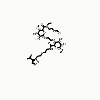 CCN(CCOCO)C(=O)C1O[C@@H](OCCO[C@@H]2C(C(=O)NCCOCCn3nncc3C(C)=O)O[C@@H](OC)[C@@H](O)[C@H]2O)[C@@H](O)[C@@H](O)[C@@H]1OC